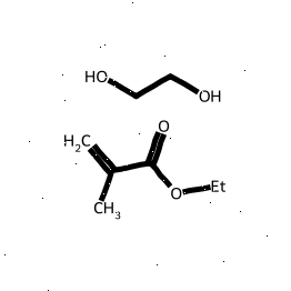 C=C(C)C(=O)OCC.OCCO